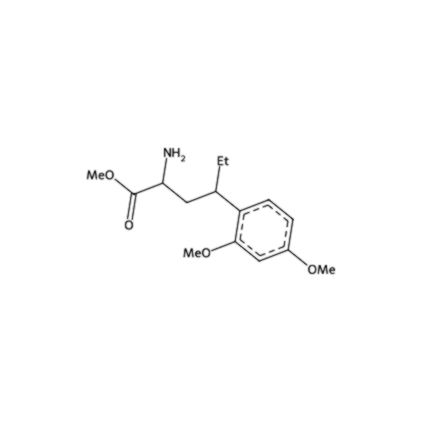 CCC(CC(N)C(=O)OC)c1ccc(OC)cc1OC